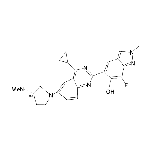 CN[C@H]1CCN(c2ccc3nc(-c4cc5cn(C)nc5c(F)c4O)nc(C4CC4)c3c2)C1